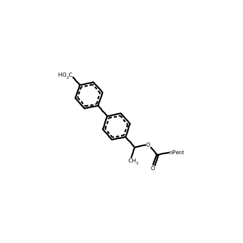 CCCCCC(=O)OC(C)c1ccc(-c2ccc(C(=O)O)cc2)cc1